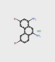 Cl.Nc1cc2c(N)cc(Br)cc2c2cc(Br)ccc12